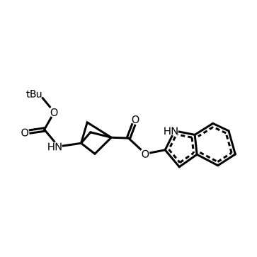 CC(C)(C)OC(=O)NC12CC(C(=O)Oc3cc4ccccc4[nH]3)(C1)C2